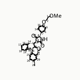 COCCOc1ccc([C@H]2NC(=O)N([C@@H](Cc3ccccc3)C(=O)Nc3ccc(I)cc3F)C2=O)cc1